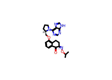 CC(C)O/N=C1/CCc2c(OC[C@H]3CCCN3c3ncnc4[nH]cnc34)cccc2C1=O